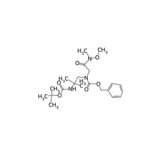 CON(C)C(=O)CN(CC(C)(C)NC(=O)OC(C)(C)C)C(=O)OCc1ccccc1